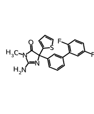 CN1C(=O)C(c2cccc(-c3cc(F)ccc3F)c2)(c2cccs2)N=C1N